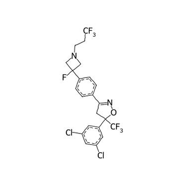 FC(F)(F)CCN1CC(F)(c2ccc(C3=NOC(c4cc(Cl)cc(Cl)c4)(C(F)(F)F)C3)cc2)C1